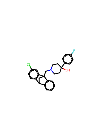 OC1(c2ccc(F)cc2)CCN(CC23CC(c4ccccc42)c2ccc(Cl)cc23)CC1